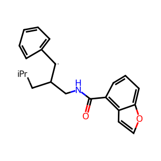 CC(C)CC([CH]c1ccccc1)CNC(=O)c1cccc2occc12